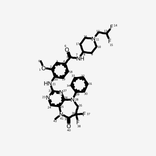 COc1cc(C(=O)NC2CCN(CC(F)F)CC2)ccc1Nc1ncc2c(n1)N(c1ccccc1)CC(F)(F)C(=O)N2C